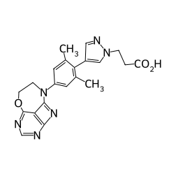 Cc1cc(N2CCOc3ncnc4c3C2=N4)cc(C)c1-c1cnn(CCC(=O)O)c1